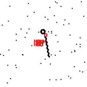 CCCCCCCCCCCCOc1ccccc1.O=P(O)(O)O